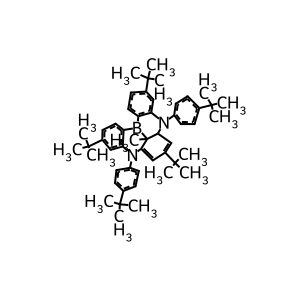 CC(C)(C)C1=CC2N(c3ccc(C(C)(C)C)cc3)c3cc(C(C)(C)C)ccc3B3c4ccc(C(C)(C)C)cc4N(c4ccc(C(C)(C)C)cc4)C(=C1)C32C